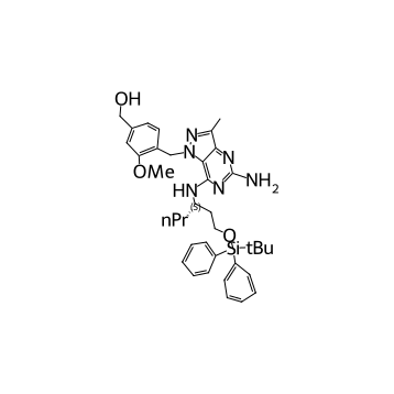 CCC[C@@H](CCO[Si](c1ccccc1)(c1ccccc1)C(C)(C)C)Nc1nc(N)nc2c(C)nn(Cc3ccc(CO)cc3OC)c12